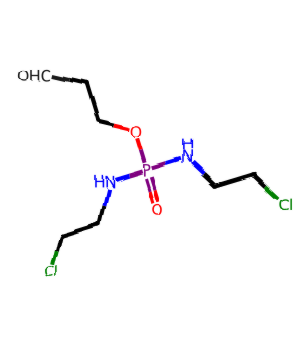 O=CCCOP(=O)(NCCCl)NCCCl